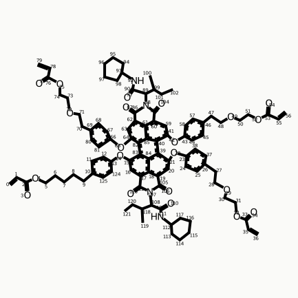 C=CC(=O)OCCCCCc1ccc(Oc2cc3c4c(cc(Oc5ccc(CCOCCOC(=O)C=C)cc5)c5c6c(Oc7ccc(CCOCCOC(=O)C=C)cc7)cc7c8c(cc(Oc9ccc(CCOCCOC(=O)C=C)cc9)c(c2c45)c86)C(=O)N(C(C(=O)NC2CCCCC2)C(C)CC)C7=O)C(=O)N(C(C(=O)NC2CCCCC2)C(C)CC)C3=O)cc1